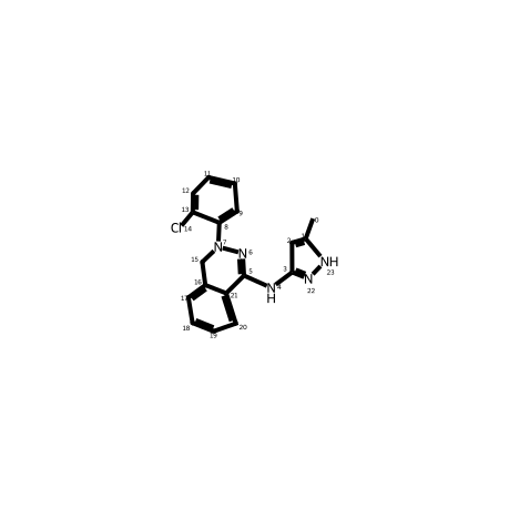 Cc1cc(NC2=NN(c3ccccc3Cl)Cc3ccccc32)n[nH]1